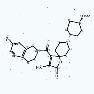 CO[C@H]1CC[C@H](N2CCC3(CC2)OC(=O)C(C)=C3C(=O)N2CCc3ncc(C(F)(F)F)cc3C2)CC1